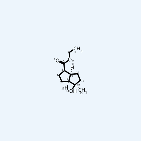 CCOC(=O)C1CC[C@H]2[C@@H]1CC[C@@]2(C)O